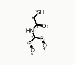 O=PC(NC(=O)CS)P=O